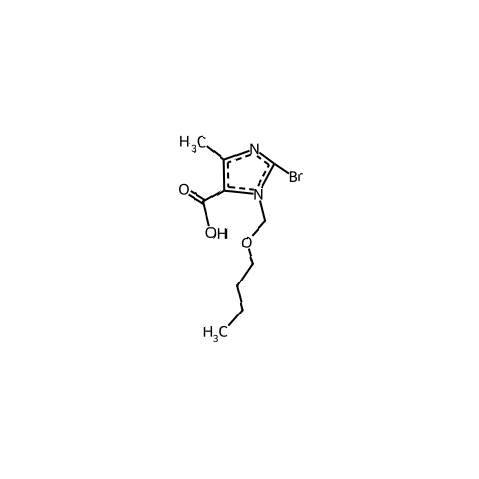 CCCCOCn1c(Br)nc(C)c1C(=O)O